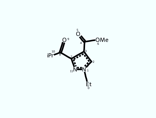 CCn1cc(C(=O)OC)c(C(=O)C(C)C)n1